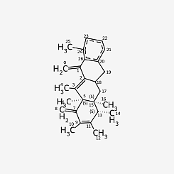 C=C1C2=C(C)[C@]3(C)C(=C)C(C)=C(C)[C@@H](C)[C@]3(C)CC2Cc2cccc(C)c21